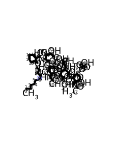 CCCCCC/C=C\CCCOc1ccccc1C(=O)NC1[C@H](O[C@H]2C(O)C(NC(C)=O)[C@H](O[C@@H]3C(CO)O[C@@H](O[C@H]4C(O)C(NC(C)=O)[C@H](O)O[C@H]4COS(=O)(=O)O)C(NC(C)=O)[C@H]3O)O[C@H]2CO)OC(CO)[C@@H](O)[C@@H]1O